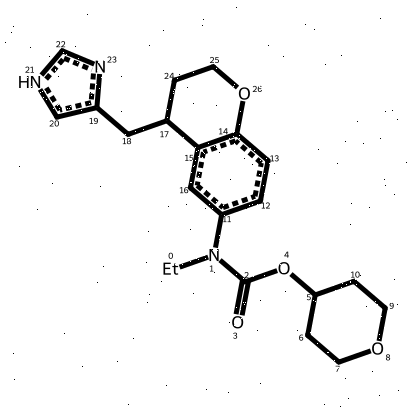 CCN(C(=O)OC1CCOCC1)c1ccc2c(c1)C(Cc1c[nH]cn1)CCO2